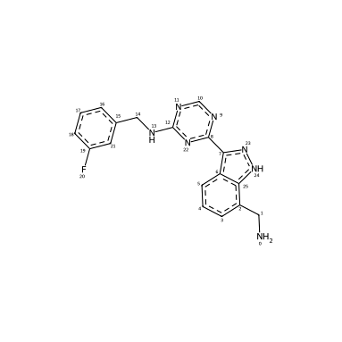 NCc1cccc2c(-c3ncnc(NCc4cccc(F)c4)n3)n[nH]c12